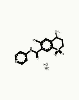 Cl.Cl.N[C@H]1CCS(=O)(=O)c2cc(C(=O)Nc3ccncc3)c(Cl)cc21